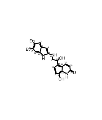 CCc1cc2cc(NCC(O)c3ccc(O)c4[nH]c(=O)ccc34)[nH]c2cc1CC